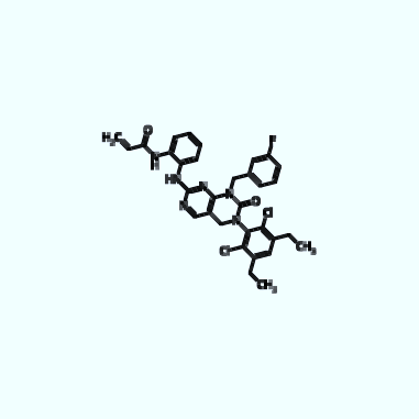 C=CC(=O)Nc1ccccc1Nc1ncc2c(n1)N(Cc1cccc(F)c1)C(=O)N(c1c(Cl)c(CC)cc(CC)c1Cl)C2